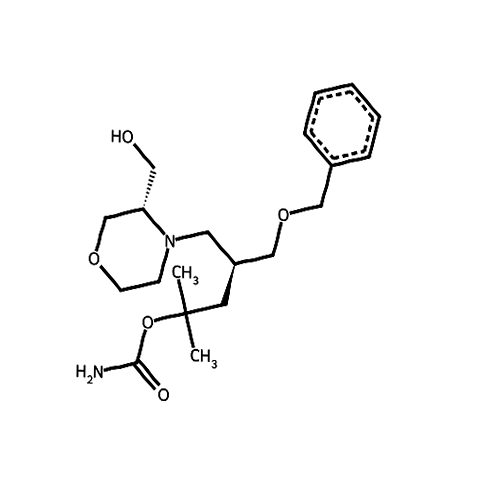 CC(C)(C[C@H](COCc1ccccc1)CN1CCOC[C@@H]1CO)OC(N)=O